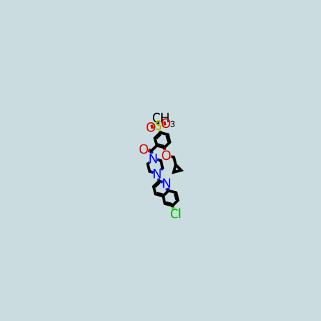 CS(=O)(=O)c1ccc(OCC2CC2)c(C(=O)N2CCN(c3ccc4cc(Cl)ccc4n3)CC2)c1